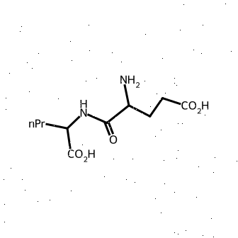 CCCC(NC(=O)C(N)CCC(=O)O)C(=O)O